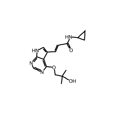 CC(C)(O)COc1ncnc2[nH]cc(/C=C/C(=O)NC3CC3)c12